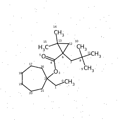 CCC1(OC(=O)C2(CC(C)(C)C)CC2(C)C)CCCCCC1